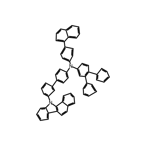 c1ccc(-c2ccc(N(c3ccc(-c4cccc(-n5c6ccccc6c6ccc7ccccc7c65)c4)cc3)c3ccc(-c4cccc5ccccc45)cc3)cc2-c2ccccc2)cc1